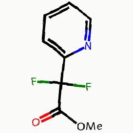 COC(=O)C(F)(F)c1ccccn1